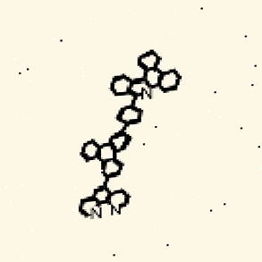 C1=Cc2c(c(-c3ccc(-c4ccc5c(c4)c4c(c6cc(-c7cc8cccnc8c8c7CCC=N8)ccc65)C=CCC4)cc3)nc3c4c(c5ccccc5c23)CCC=C4)CC1